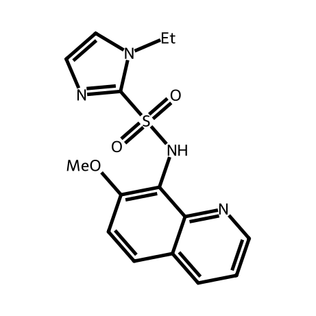 CCn1ccnc1S(=O)(=O)Nc1c(OC)ccc2cccnc12